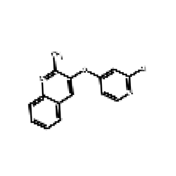 Cc1nc2ccccc2cc1Oc1ccnc(Cl)c1